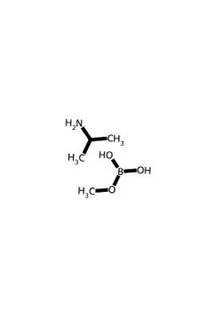 CC(C)N.COB(O)O